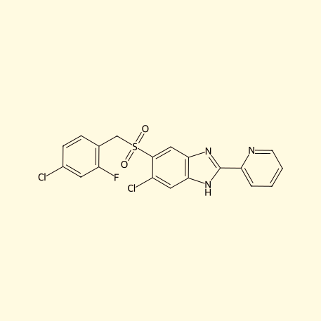 O=S(=O)(Cc1ccc(Cl)cc1F)c1cc2nc(-c3ccccn3)[nH]c2cc1Cl